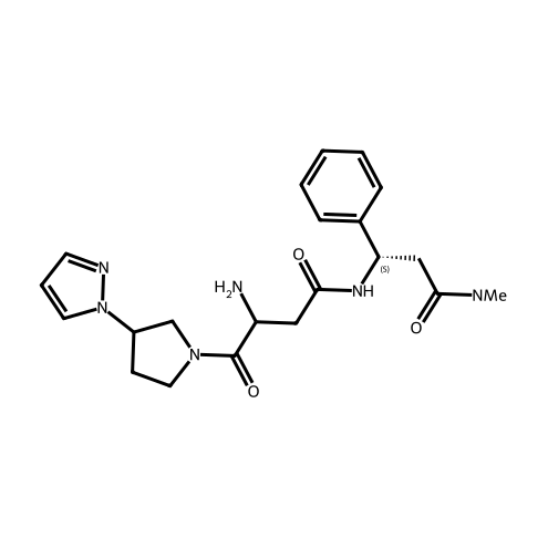 CNC(=O)C[C@H](NC(=O)CC(N)C(=O)N1CCC(n2cccn2)C1)c1ccccc1